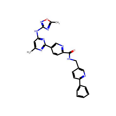 Cc1cc(Nc2noc(C)n2)nc(-c2ccc(C(=O)NCc3ccc(-c4ccccc4)nc3)nc2)n1